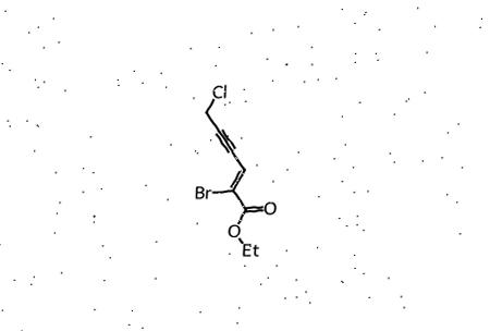 CCOC(=O)C(Br)=CC#CCCl